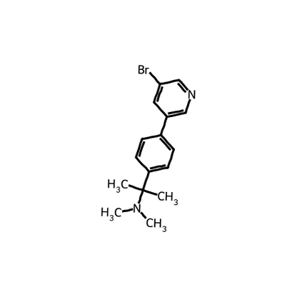 CN(C)C(C)(C)c1ccc(-c2cncc(Br)c2)cc1